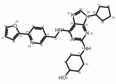 OC1CCC(Nc2nc(NCc3ccc(-c4ccco4)nc3)c3ncn(C4CCCC4)c3n2)CC1